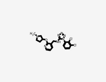 CN1CCC(Oc2ncccc2CNc2nnnn2-c2cccc(Cl)c2Cl)C1